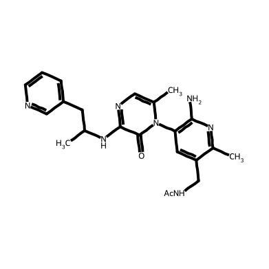 CC(=O)NCc1cc(-n2c(C)cnc(NC(C)Cc3cccnc3)c2=O)c(N)nc1C